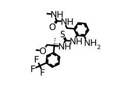 CNC(=O)NCc1cccc(N)c1NC(=S)N[C@](C)(COC)c1cccc(C(F)(F)F)c1